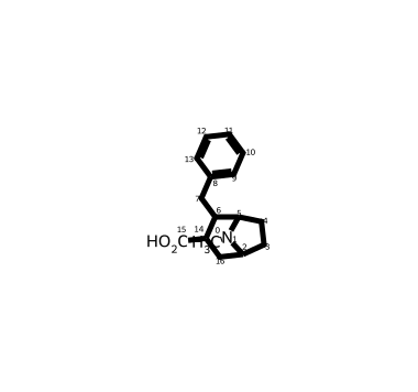 CN1C2CCC1C(Cc1ccccc1)C(C(=O)O)C2